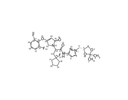 CC1(C)OC[C@@H](Cn2ccc(NC(=O)C(CC3(F)CCCC3)N3CC(Oc4c(F)cccc4F)=CC3=O)n2)O1